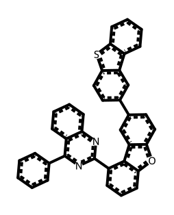 c1ccc(-c2nc(-c3cccc4oc5ccc(-c6ccc7sc8ccccc8c7c6)cc5c34)nc3ccccc23)cc1